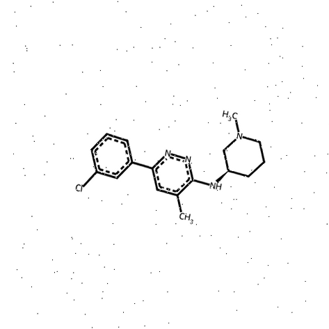 Cc1cc(-c2cccc(Cl)c2)nnc1N[C@@H]1CCCN(C)C1